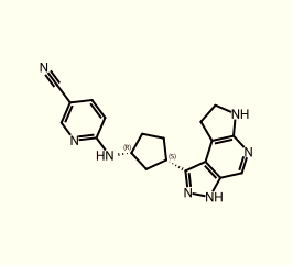 N#Cc1ccc(N[C@@H]2CC[C@H](c3n[nH]c4cnc5c(c34)CCN5)C2)nc1